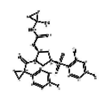 N#CC1(NC(=O)O[C@H]2C[C@@H](S(=O)(=O)c3ccc(Cl)cc3Cl)CN2C(=O)C2(c3ccc(Cl)cc3)CC2)CC1